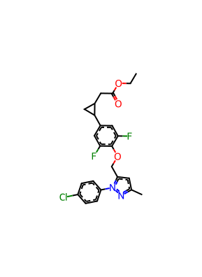 CCOC(=O)CC1CC1c1cc(F)c(OCc2cc(C)nn2-c2ccc(Cl)cc2)c(F)c1